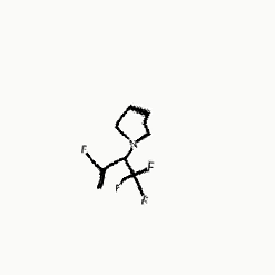 C=C(F)C(N1CCCC1)C(F)(F)F